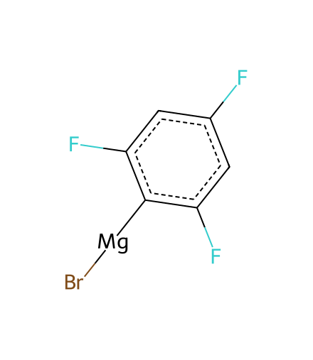 Fc1cc(F)[c]([Mg][Br])c(F)c1